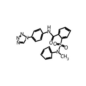 CN(c1ccccc1)S(=O)(=O)c1ccccc1C(=O)Nc1ccc(-n2cnnn2)cc1